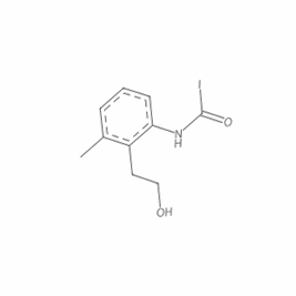 Cc1cccc(NC(=O)I)c1CCO